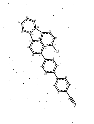 N#Cc1ccc(-c2ccc(-c3ccc4c5c(ccc(Cl)c35)-c3ccccc3-4)cc2)cc1